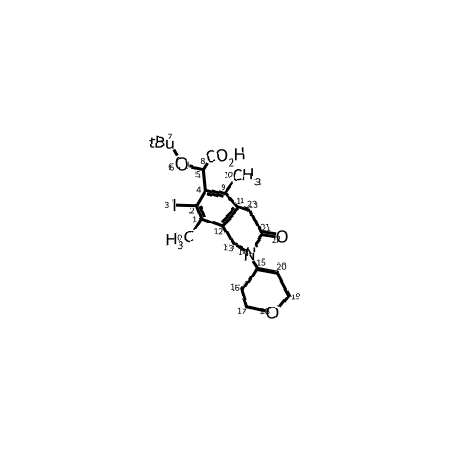 Cc1c(I)c(C(OC(C)(C)C)C(=O)O)c(C)c2c1CN(C1CCOCC1)C(=O)C2